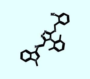 Cc1cccc(C)c1-n1c(C=[SH]c2cn(C)c3ccccc23)nnc1SCc1ccccc1C#N